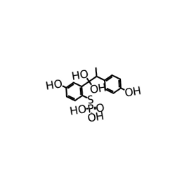 CC(c1ccc(O)cc1)C(O)(O)c1cc(O)ccc1SP(=O)(O)O